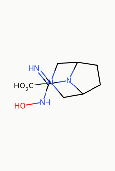 N=C(NO)N1C2CCC1CN(C(=O)O)C2